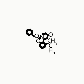 CC(C)c1ccccc1C1CC(=O)C=CN1C(=O)OCc1ccccc1